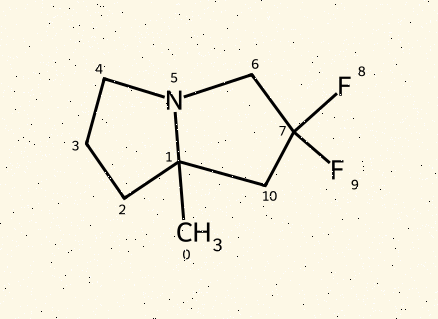 CC12CCCN1CC(F)(F)C2